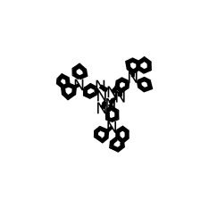 c1ccc(N(c2ccc3c(c2)nc2n3c3nc4cc(N(c5ccccc5)c5cccc6ccccc56)ccc4n3c3nc4cc(N(c5ccccc5)c5cccc6ccccc56)ccc4n23)c2cccc3ccccc23)cc1